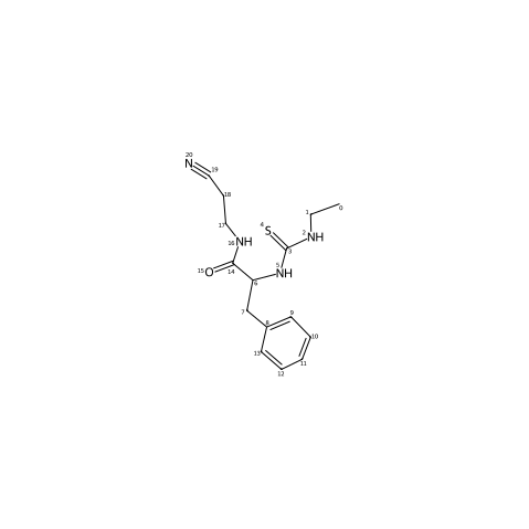 CCNC(=S)NC(Cc1ccccc1)C(=O)NCCC#N